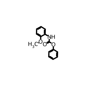 COc1ccccc1NC(=O)Oc1ccccc1